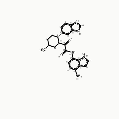 C[C@H]1CC[C@H](c2ccc3scnc3c2)N(C(=O)C(=O)Nc2cnc(N)c3cc[nH]c23)C1